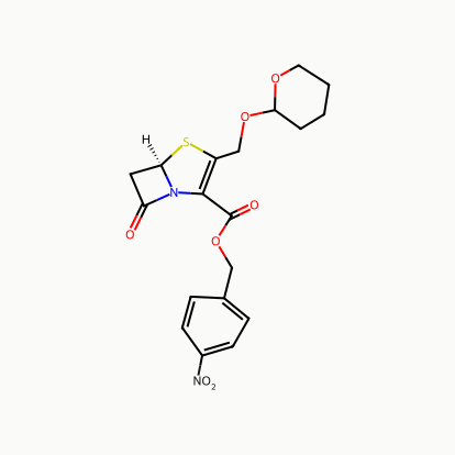 O=C(OCc1ccc([N+](=O)[O-])cc1)C1=C(COC2CCCCO2)S[C@@H]2CC(=O)N12